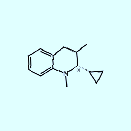 CC1Cc2ccccc2N(C)[C@H]1C1CC1